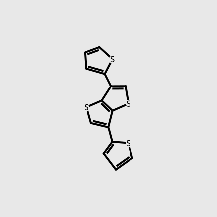 c1csc(-c2csc3c(-c4cccs4)csc23)c1